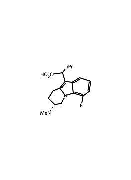 CCCC(C(=O)O)c1c2n(c3c(F)cccc13)C[C@H](NC)CC2